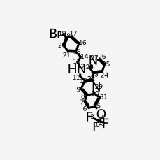 FC(F)(F)Oc1ccc2cc(CNCCc3ccc(Br)cc3)c(-c3cccnc3)nc2c1